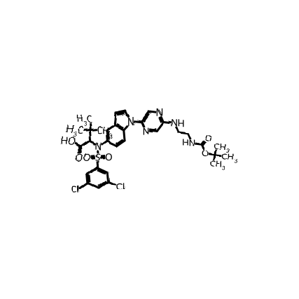 CC(C)(C)OC(=O)NCCNc1cnc(-n2ccc3cc(N(C(C(=O)O)C(C)(C)C)S(=O)(=O)c4cc(Cl)cc(Cl)c4)ccc32)cn1